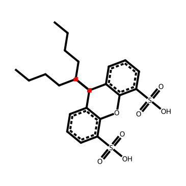 CCCCCCc1cccc(S(=O)(=O)O)c1Oc1c(CCCCCC)cccc1S(=O)(=O)O